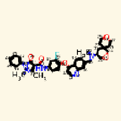 Cc1c(C(=O)Nc2ccc(Oc3ccnc4cc(CN(C)C5COCC6(CCOCC6)C5)ccc34)c(F)c2)c(=O)n(-c2ccccc2)n1C